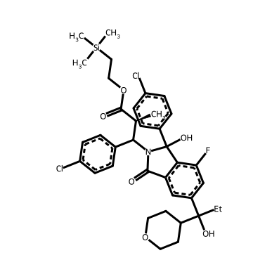 CCC(O)(c1cc(F)c2c(c1)C(=O)N(C(c1ccc(Cl)cc1)[C@H](C)C(=O)OCC[Si](C)(C)C)C2(O)c1ccc(Cl)cc1)C1CCOCC1